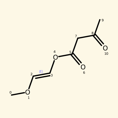 CO/C=C/OC(=O)CC(C)=O